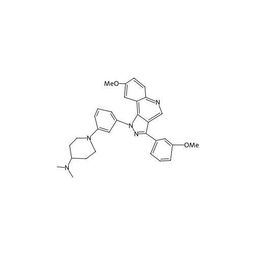 COc1cccc(-c2nn(-c3cccc(N4CCC(N(C)C)CC4)c3)c3c2cnc2ccc(OC)cc23)c1